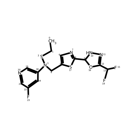 CCSN(Cc1cnc(C2NN=C(C(F)F)O2)s1)c1cncc(F)c1